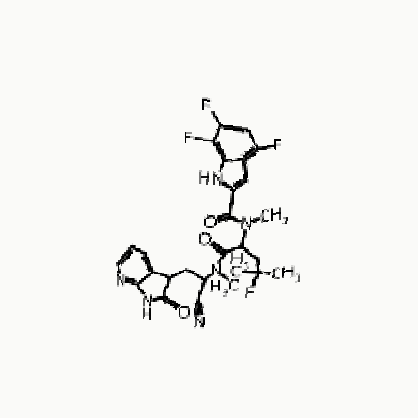 CN(C(=O)C(CC(C)(C)F)N(C)C(=O)c1cc2c(F)cc(F)c(F)c2[nH]1)C(C#N)CC1C(=O)Nc2ncccc21